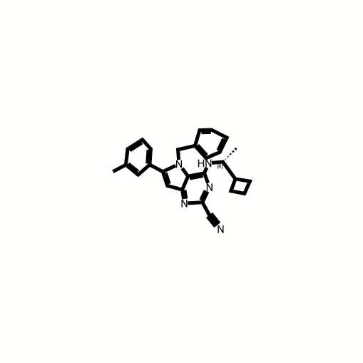 Cc1cccc(-c2cc3nc(C#N)nc(N[C@H](C)C4CCC4)c3n2Cc2ccccc2)c1